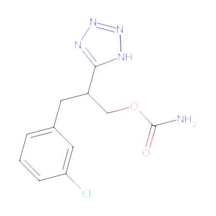 NC(=O)OCC(Cc1cccc(Cl)c1)c1nnn[nH]1